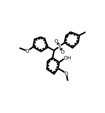 COc1cccc(C(c2cccc(OC)c2O)S(=O)(=O)c2ccc(C)cc2)c1